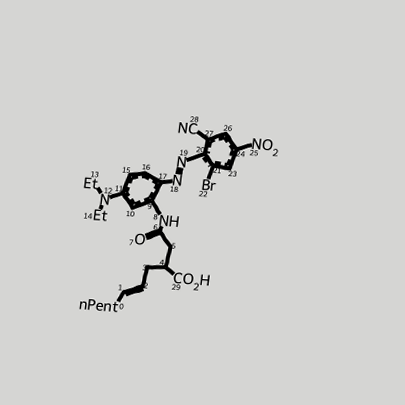 CCCCC/C=C/CC(CC(=O)Nc1cc(N(CC)CC)ccc1/N=N/c1c(Br)cc([N+](=O)[O-])cc1C#N)C(=O)O